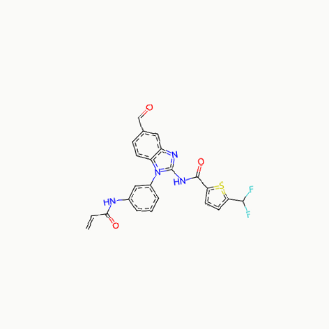 C=CC(=O)Nc1cccc(-n2c(NC(=O)c3ccc(C(F)F)s3)nc3cc(C=O)ccc32)c1